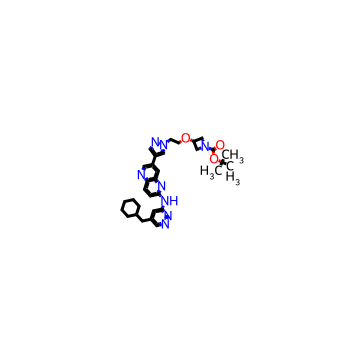 CC(C)(C)OC(=O)N1CC(OCCn2cc(-c3cnc4ccc(Nc5cc(CC6CCCCC6)cnn5)nc4c3)cn2)C1